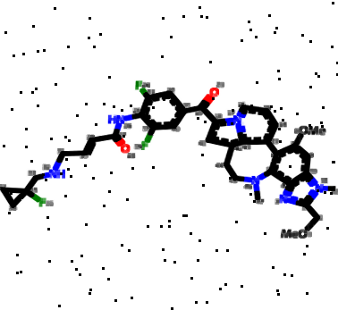 COCc1nc2c3c(c(OC)cc2n1C)-c1cccn2c(C(=O)c4cc(F)c(NC(=O)/C=C/CNCC5(F)CC5)c(F)c4)cc(c12)CCN3C